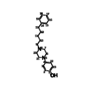 Oc1ccc(N2CCN(CCCCCc3ccccc3)CC2)cc1